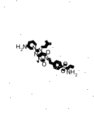 C=CC(N)S(=O)(=O)c1ccc(CCn2c(=O)c3c(nc(N4CCCC(N)C4)n3CC=C(C)C)n(C)c2=O)cc1